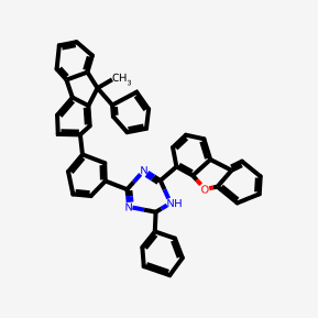 CC1(c2ccccc2)c2ccccc2-c2ccc(-c3cccc(C4=NC(c5ccccc5)NC(c5cccc6c5oc5ccccc56)=N4)c3)cc21